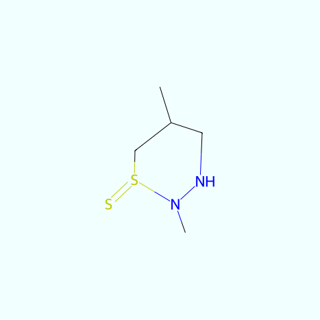 CC1CNN(C)S(=S)C1